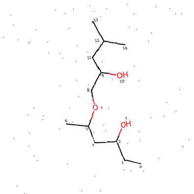 CCC(O)CC(C)OCC(O)CC(C)C